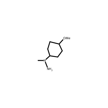 COC1CCC(N(C)N)CC1